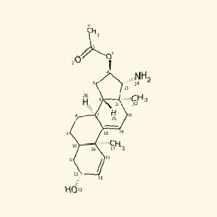 CC(=O)O[C@@H]1C[C@H]2[C@@H]3CCC4C[C@@H](O)C=C[C@]4(C)C3=CC[C@]2(C)[C@H]1N